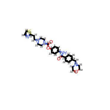 O=C(Nc1ccc(OC(=O)N2CCN(CCc3nccs3)CC2)cc1)c1ccc(CN2CCOCC2)cc1